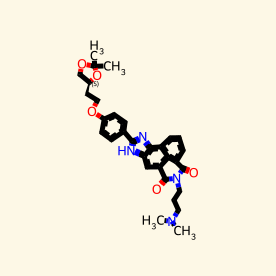 CN(C)CCCN1C(=O)c2cccc3c2c(cc2[nH]c(-c4ccc(OCC[C@H]5COC(C)(C)O5)cc4)nc23)C1=O